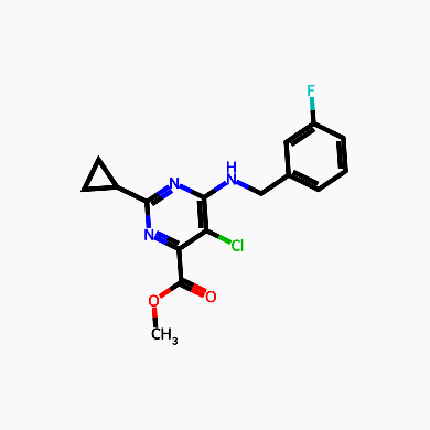 COC(=O)c1nc(C2CC2)nc(NCc2cccc(F)c2)c1Cl